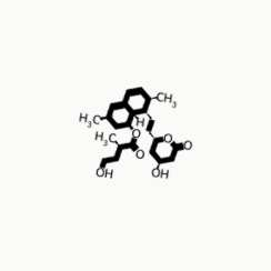 C[C@H]1C=C2C=C[C@H](C)[C@H](CC[C@H]3C[C@@H](O)CC(=O)O3)[C@H]2[C@@H](OC(=O)[C@@H](C)CCO)C1